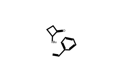 C=Cc1ccccc1.CCCCC1CCC1=O